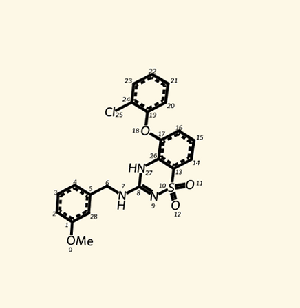 COc1cccc(CNC2=NS(=O)(=O)c3cccc(Oc4ccccc4Cl)c3N2)c1